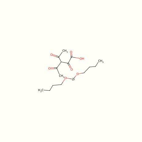 CC(=O)C(C(C)=O)C(=O)C(=O)O.CCCC[O][Zr][O]CCCC